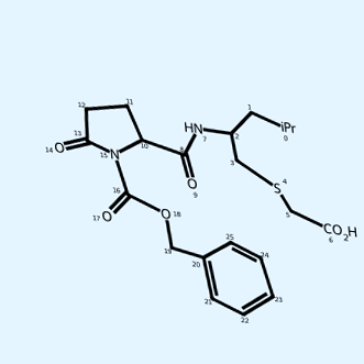 CC(C)CC(CSCC(=O)O)NC(=O)C1CCC(=O)N1C(=O)OCc1ccccc1